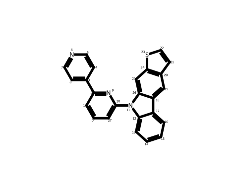 c1cc(-c2ccncc2)nc(-n2c3ccccc3c3cc4ccsc4cc32)c1